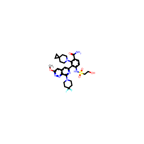 COc1cc2cc(-c3c(NS(=O)(=O)CCO)ccc(C(N)=O)c3N3CCC4(CC3)CC4)nc(N3CCC(F)(F)CC3)c2nn1